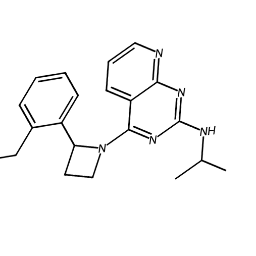 CCc1ccccc1C1CCN1c1nc(NC(C)C)nc2ncccc12